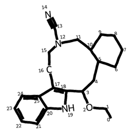 CCOC1CC2CCCCC2CN(C#N)CCc2c1[nH]c1ccccc21